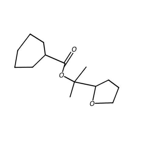 CC(C)(OC(=O)C1CCCCC1)C1CCCO1